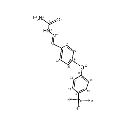 NC(=O)NN=Cc1ccc(Oc2ccc(C(F)(F)F)cc2)cc1